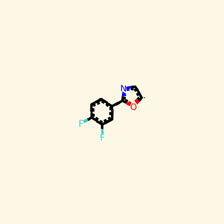 Fc1ccc(-c2nc[c]o2)cc1F